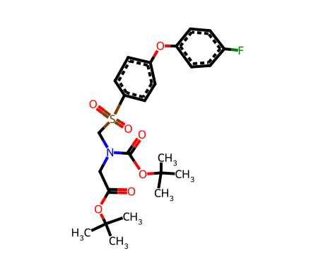 CC(C)(C)OC(=O)CN(CS(=O)(=O)c1ccc(Oc2ccc(F)cc2)cc1)C(=O)OC(C)(C)C